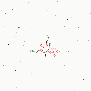 CC(C)C(CCl)(OP(=O)(O)O)P(=O)(OCCCl)OCCCl